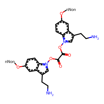 CCCCCCCCCOc1ccc2c(c1)c(CCN)cn2OC(=O)C(=O)On1cc(CCN)c2cc(OCCCCCCCCC)ccc21